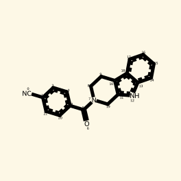 N#Cc1ccc(C(=O)N2CCc3c([nH]c4ccccc34)C2)cc1